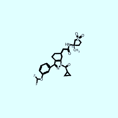 C[C@]1(NC(=O)CC2CCc3c(-c4cccc(OC(F)F)c4)nn(C(=O)C4CC4)c3C2)CCS(=O)(=O)C1